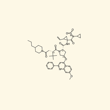 C=CC1CC1(NC(=O)[C@@H]1C[C@@H](Oc2cc(-c3ccccc3)nc3cc(OC)ccc23)CN1C(=O)[C@@H](CC(=O)N1CCC(CCC)CC1)C(C)(C)C)C(=O)N(C1CC1)[SH](=O)=O